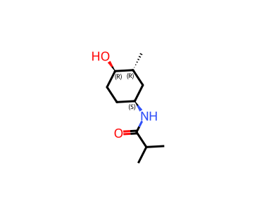 CC(C)C(=O)N[C@H]1CC[C@@H](O)[C@H](C)C1